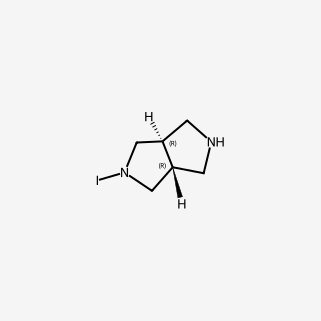 IN1C[C@H]2CNC[C@@H]2C1